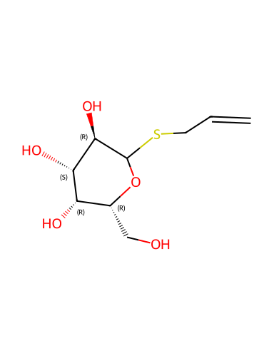 C=CCSC1O[C@H](CO)[C@H](O)[C@H](O)[C@H]1O